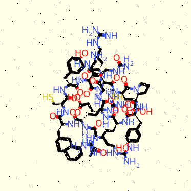 CC(=O)N[C@@H](CCCNC(=N)N)C(=O)N[C@@H](CCCNC(=N)N)C(=O)N[C@@H](Cc1ccc2ccccc2c1)C(=O)N[C@@H](CS)C(=O)N[C@@H](Cc1ccc(O)cc1)C(=O)N[C@@H](CCCNC(N)=O)C(=O)N[C@@H](CCCCN)C(=O)N[C@H](CCC(=O)O)C(=O)N1CCC[C@H]1C(=O)N[C@@H](Cc1ccc(O)cc1)C(=O)N[C@@H](CCCNC(=N)N)C(=O)N[C@H](CCC(=O)O)C(=O)N[C@@H](CS)C(=O)N[C@@H](CCCNC(=N)N)C(N)=O